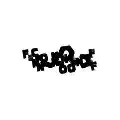 O=C([C@@H]1CCCc2nn(Cc3nnc(C(F)(F)F)o3)c(=O)n21)N1C[C@@H](F)[C@@H](F)C1